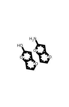 Nc1cc2occc2o1.Oc1cc2occc2o1